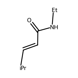 CCNC(=O)/C=C/C(C)C